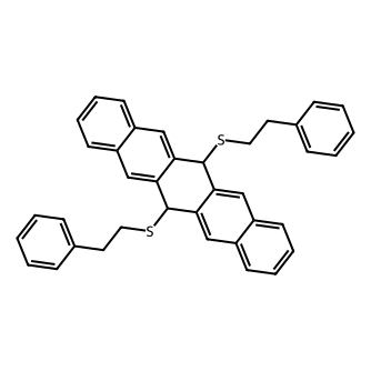 c1ccc(CCSC2c3cc4ccccc4cc3C(SCCc3ccccc3)c3cc4ccccc4cc32)cc1